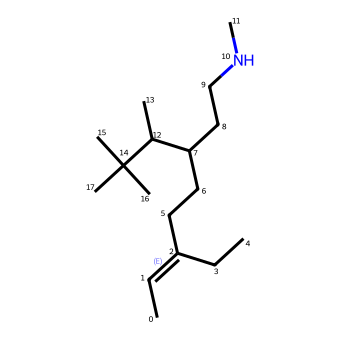 C/C=C(\CC)CCC(CCNC)C(C)C(C)(C)C